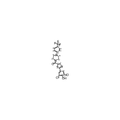 O=C(c1cnc(-c2cc(Cl)c(O)c(Cl)c2)s1)N1CCN(c2ccc(C(F)(F)F)cc2)CC1